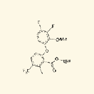 COc1c(Oc2ccc(C(F)(F)F)c(C)c2C(=O)OC(C)(C)C)ccc(F)c1F